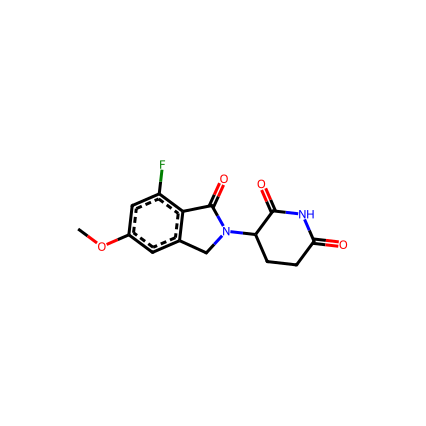 COc1cc(F)c2c(c1)CN(C1CCC(=O)NC1=O)C2=O